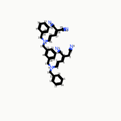 N#CC/C(C#N)=C/C=C/N(Cc1ccccc1)Cc1cccc(CN(/C=C/C=C(C#N)C#N)Cc2ccccc2)c1